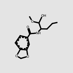 CCCC(NC(=O)c1ccc2c(c1)OCO2)C(O)OC